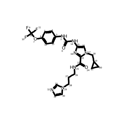 O=C(Nc1ccc(OC(F)(F)F)cc1)Nc1cn(CC2CC2)c(C(=O)NCCCn2ccnc2)n1